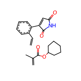 C=C(C)C(=O)OC1CCCCC1.C=Cc1ccccc1C1=CC(=O)NC1=O